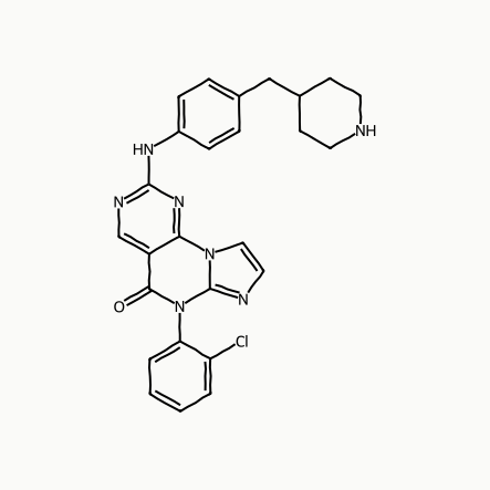 O=c1c2cnc(Nc3ccc(CC4CCNCC4)cc3)nc2n2ccnc2n1-c1ccccc1Cl